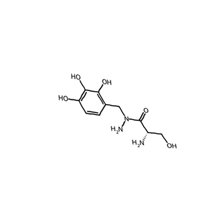 N[C@@H](CO)C(=O)N(N)Cc1ccc(O)c(O)c1O